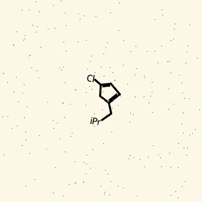 CC(C)CC1=CC=C(Cl)C1